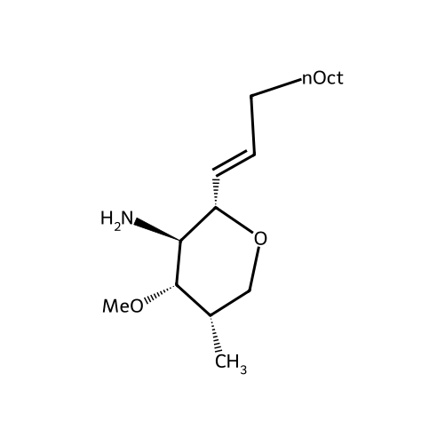 CCCCCCCCC/C=C/[C@@H]1OC[C@H](C)[C@H](OC)[C@H]1N